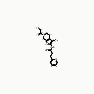 N#Cc1c(NC(=O)CCc2ccccn2)sc2c1CCN(C(=O)CO)C2